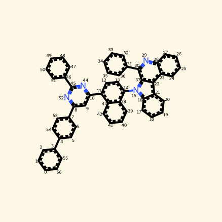 c1ccc(-c2ccc(-c3cc(-c4ccc(-n5c6ccccc6c6c7ccccc7nc(-c7ccccc7)c65)c5ccccc45)nc(-c4ccccc4)n3)cc2)cc1